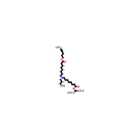 CCCC#CCCCOC(=O)CCCCCCCN(CCCC#N)CCCCCCCC(=O)OC(CCCCCCCC)CCCCCCCC